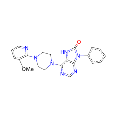 COc1cccnc1N1CCN(c2ncnc3c2[nH]c(=O)n3-c2ccccc2)CC1